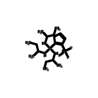 CCC(C)[NH][Zr]([NH]C(C)CC)([NH]C(C)CC)[C]1=[C]([Ge]([F])([F])[F])C=CC1